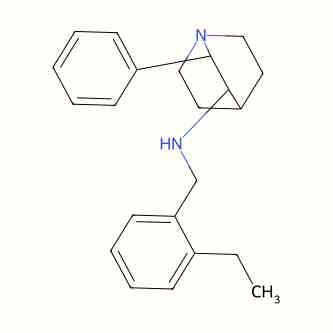 CCc1ccccc1CNC1C2CCN(CC2)C1c1ccccc1